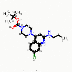 CCCNc1cc(N2CCN(C(=O)OC(C)(C)C)CC2)c2ccc(Cl)cc2n1